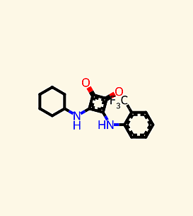 O=c1c(Nc2ccccc2C(F)(F)F)c(NC2CCCCC2)c1=O